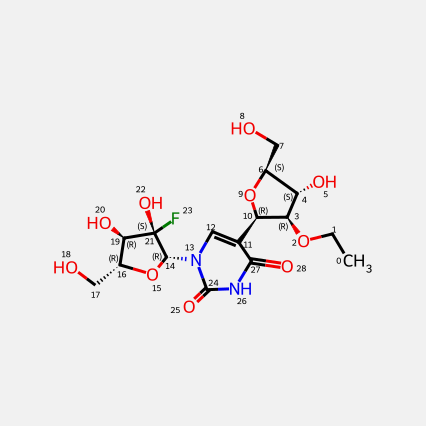 CCO[C@@H]1[C@@H](O)[C@H](CO)O[C@@H]1c1cn([C@@H]2O[C@H](CO)[C@@H](O)[C@]2(O)F)c(=O)[nH]c1=O